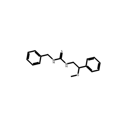 COC(CNC(=S)NCc1ccccc1)c1ccccc1